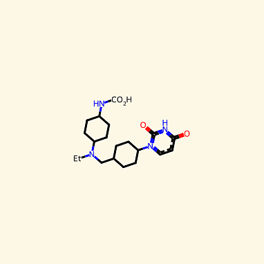 CCN(CC1CCC(n2ccc(=O)[nH]c2=O)CC1)C1CCC(NC(=O)O)CC1